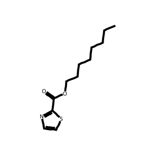 CCCCCCCCOC(=O)c1nccs1